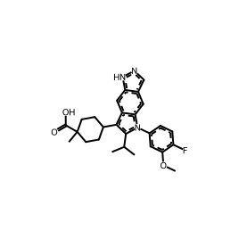 COc1cc(-n2c(C(C)C)c(C3CCC(C)(C(=O)O)CC3)c3cc4[nH]ncc4cc32)ccc1F